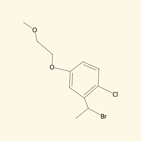 COCCOc1ccc(Cl)c(C(C)Br)c1